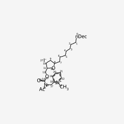 CCCCCCCCCCCCCCCCCC1CCC(COC(=O)N(Cc2cccc[n+]2C)C(C)=O)O1.[I-]